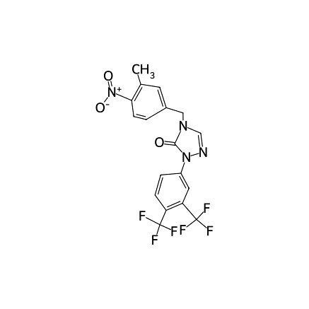 Cc1cc(Cn2cnn(-c3ccc(C(F)(F)F)c(C(F)(F)F)c3)c2=O)ccc1[N+](=O)[O-]